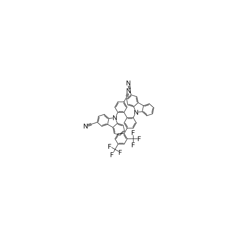 N#Cc1ccc(-n2c3ccccc3c3cc(C#N)ccc32)c(-c2cc(-c3ccc(C(F)(F)F)cc3C(F)(F)F)ccc2-n2c3ccccc3c3cc(C#N)ccc32)c1